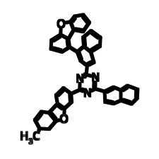 CC1C=Cc2c(oc3cc(-c4nc(-c5ccc6ccccc6c5)nc(-c5cc(-c6cccc7oc8ccccc8c67)c6ccccc6c5)n4)ccc23)C1